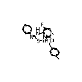 CCCS/C(=N/c1ccccc1)Nc1nc(OCc2ccc(C)cc2)ncc1F